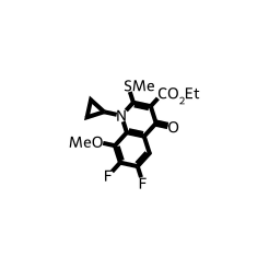 CCOC(=O)c1c(SC)n(C2CC2)c2c(OC)c(F)c(F)cc2c1=O